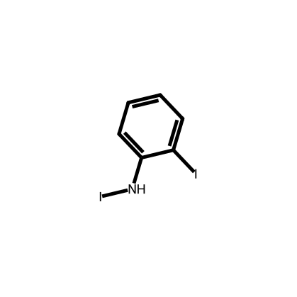 INc1ccccc1I